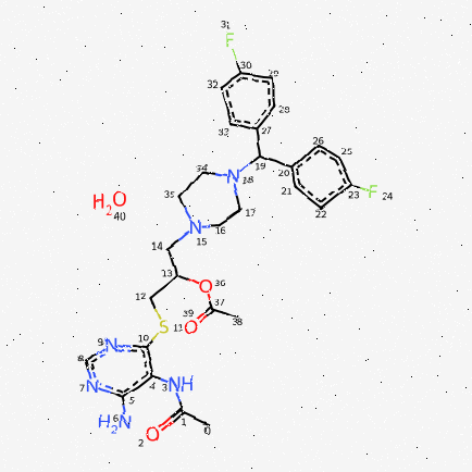 CC(=O)Nc1c(N)ncnc1SCC(CN1CCN(C(c2ccc(F)cc2)c2ccc(F)cc2)CC1)OC(C)=O.O